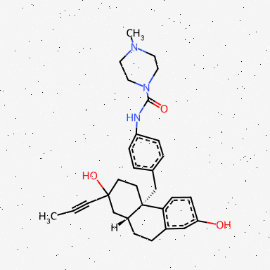 CC#CC1(O)CC[C@@]2(Cc3ccc(NC(=O)N4CCN(C)CC4)cc3)c3ccc(O)cc3CC[C@@H]2C1